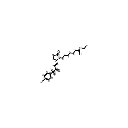 CCOC(=O)CCCCCCN1C(=O)CC[C@@H]1/C=C/C(=O)C(F)(F)c1ccc(I)cc1